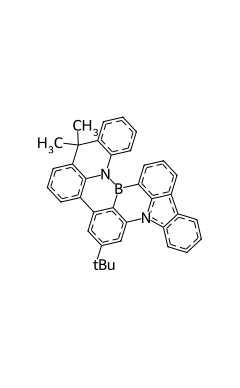 CC(C)(C)c1cc2c3c(c1)-n1c4ccccc4c4cccc(c41)B3N1c3ccccc3C(C)(C)c3cccc-2c31